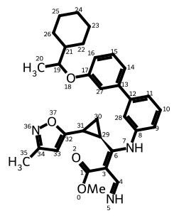 COC(=O)/C(C=N)=C(/Nc1cccc(-c2cccc(OC(C)C3CCCCC3)c2)c1)[C@@H]1CC1c1cc(C)no1